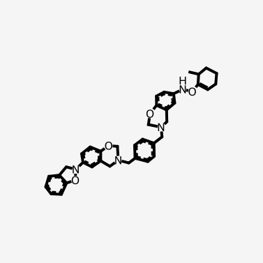 CC1CCCC=C1ONc1ccc2c(c1)CN(Cc1ccc(CN3COc4ccc(N5Cc6ccccc6O5)cc4C3)cc1)CO2